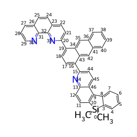 C[Si]1(C)c2ccccc2-c2c1ccc1nc(-c3ccc(-c4ccc5ccc6cccnc6c5n4)c4cc5ccccc5cc34)ccc21